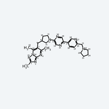 Cc1nc2nc(C)c(CC3CCN(c4cnc(-c5ccc(CN6CCCC6)nc5)cn4)C3)c(C)n2n1